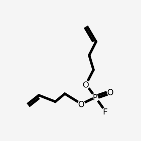 C=CCCOP(=O)(F)OCCC=C